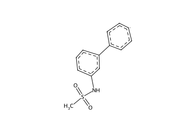 CS(=O)(=O)Nc1cccc(-c2cc[c]cc2)c1